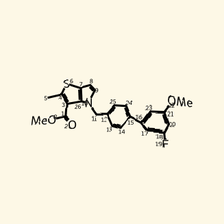 COC(=O)c1c(C)sc2ccn(Cc3ccc(-c4cc(F)cc(OC)c4)cc3)c12